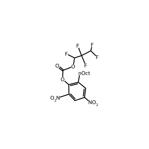 CCCCCCCCc1cc([N+](=O)[O-])cc([N+](=O)[O-])c1OC(=O)OC(F)C(F)(F)C(F)F